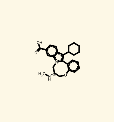 CN[C@H]1COc2ccccc2-c2c(C3CCCCC3)c3ccc(C(=O)O)cc3n2C1